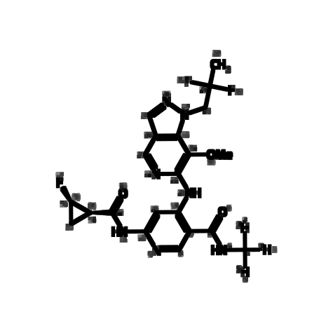 [2H]C([2H])([2H])NC(=O)c1cnc(NC(=O)[C@H]2C[C@H]2F)cc1Nc1ncc2cnn(CC(C)(F)F)c2c1OC